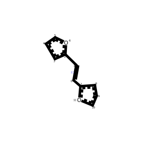 [C](=[C]\c1ccco1)/c1ccco1